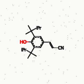 CC(C)C(C)(C)c1cc(C=CC#N)cc(C(C)(C)C(C)C)c1O